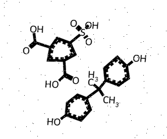 CC(C)(c1ccc(O)cc1)c1ccc(O)cc1.O=C(O)c1cc(C(=O)O)cc(S(=O)(=O)O)c1